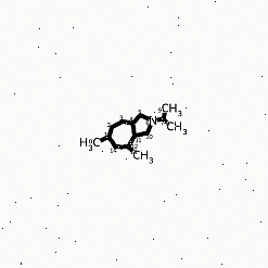 CC1CCC2CN(C(C)C)CC2C(C)C1